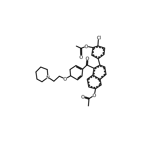 CC(=O)Oc1ccc2c(C(=O)C3=CCC(OCCN4CCCCC4)C=C3)c(-c3ccc(Cl)c(OC(C)=O)c3)ccc2c1